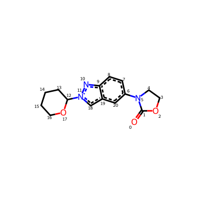 O=C1OCCN1c1ccc2nn(C3CCCCO3)cc2c1